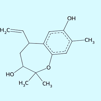 C=CC1CC(O)C(C)(C)Oc2cc(C)c(O)cc21